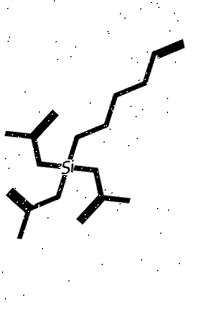 C=CCCCC[Si](CC(=C)C)(CC(=C)C)CC(=C)C